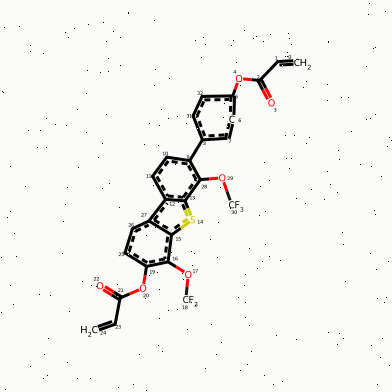 C=CC(=O)Oc1ccc(-c2ccc3c(sc4c(OC(F)(F)F)c(OC(=O)C=C)ccc43)c2OC(F)(F)F)cc1